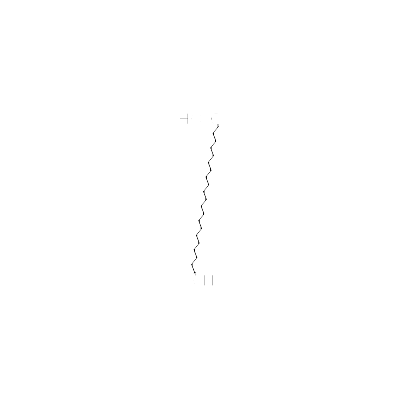 C#CCCCCCCCCCCCCCCCCCCCCC(=O)O